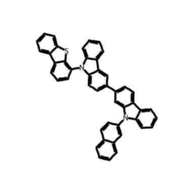 c1ccc2cc(-n3c4ccccc4c4ccc(-c5ccc6c(c5)c5ccccc5n6-c5cccc6c5sc5ccccc56)cc43)ccc2c1